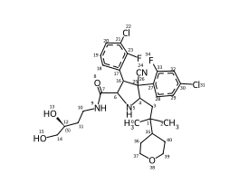 CC(C)(CC1NC(C(=O)NCC[C@H](O)CO)C(c2cccc(Cl)c2F)C1(C#N)c1ccc(Cl)cc1F)C1CCOCC1